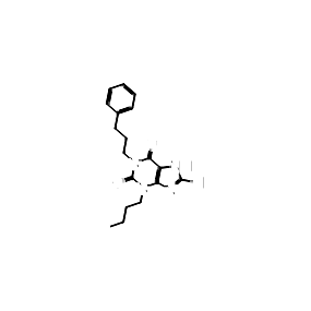 CCCCn1c(=O)n(CCCc2ccccc2)c(=O)c2[nH]c(Cl)nc21